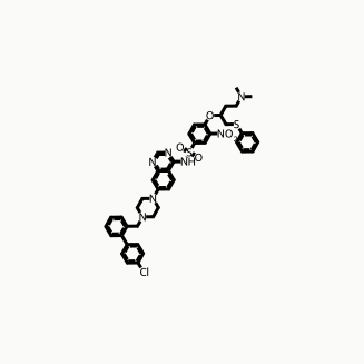 CN(C)CCC(CSc1ccccc1)Oc1ccc(S(=O)(=O)Nc2ncnc3cc(N4CCN(Cc5ccccc5-c5ccc(Cl)cc5)CC4)ccc23)cc1[N+](=O)[O-]